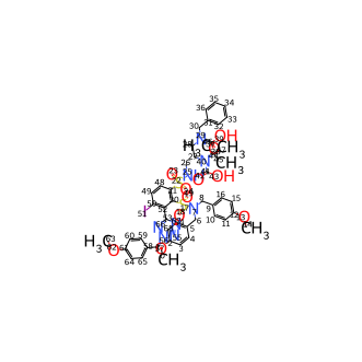 COc1ccc(CN(Cc2ccc(OC)cc2)S(=O)(=O)c2c(S(=O)(=O)NC[C@H](CN(Cc3ccccc3)C(=O)O)N(C(=O)O)C(C)(C)C)ccc(I)c2-c2nnn(Cc3ccc(OC)cc3)n2)cc1